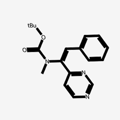 CN(C(=O)OC(C)(C)C)C(=Cc1ccccc1)c1ccncn1